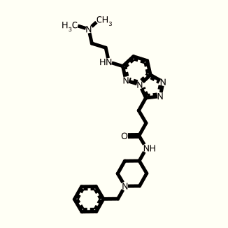 CN(C)CCNc1ccc2nnc(CCC(=O)NC3CCN(Cc4ccccc4)CC3)n2n1